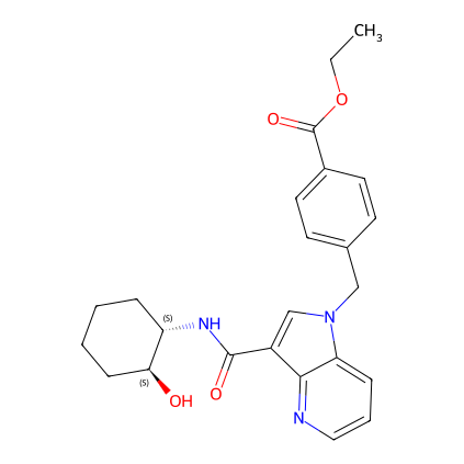 CCOC(=O)c1ccc(Cn2cc(C(=O)N[C@H]3CCCC[C@@H]3O)c3ncccc32)cc1